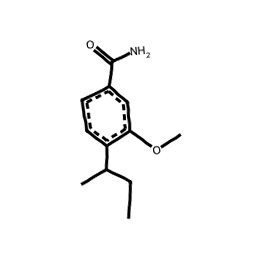 CCC(C)c1ccc(C(N)=O)cc1OC